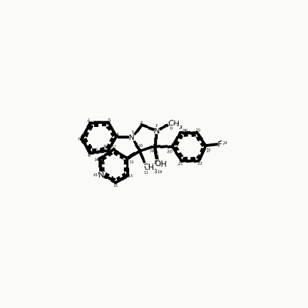 CN1CN(c2ccccc2)C(C)(c2ccncc2)C1(O)c1ccc(F)cc1